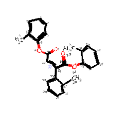 Cc1ccccc1OC(=O)/C=C(\C(=O)Oc1ccccc1C)c1ccccc1C